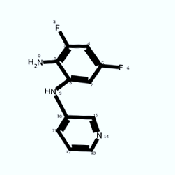 Nc1c(F)cc(F)cc1Nc1cccnc1